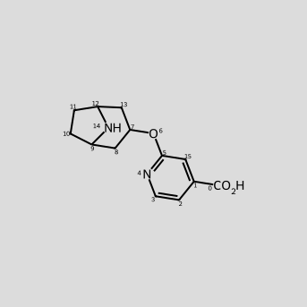 O=C(O)c1ccnc(OC2CC3CCC(C2)N3)c1